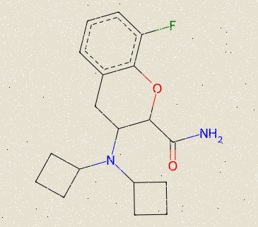 NC(=O)C1Oc2c(F)cccc2CC1N(C1CCC1)C1CCC1